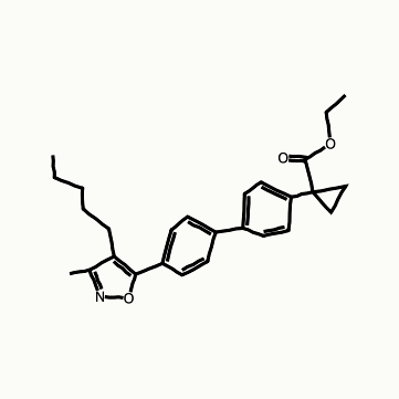 CCCCCc1c(C)noc1-c1ccc(-c2ccc(C3(C(=O)OCC)CC3)cc2)cc1